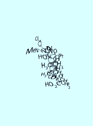 CNCCn1c(-c2ccc(Cl)cc2)nnc1[C@@H](O)[C@@]12CC[C@]3(C)[C@H](CC[C@@H]4[C@@]5(C)CC[C@H](OC(=O)CC(C)(C)C(=O)O)C(C)(C)[C@@H]5CC[C@]43C)C1=C(C(C)C)C(=O)C2